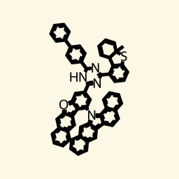 CC12C=CC=CC1c1c(cccc1C1=NC(c3ccc(-c4ccccc4)cc3)NC(c3cc(-n4c5cc6ccccc6cc5c5ccc6ccccc6c54)c4c(c3)oc3cc5ccccc5cc34)=N1)S2